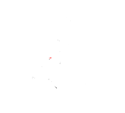 CC(=O)N1CCC23c4cc(O)ccc4CC1C21CCC2NC[C@@H](C1)C23